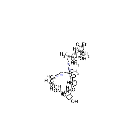 CC[C@H]1C[C@H](CC)[C@@]2(NC1=O)O[C@@H](C[C@H](O)[C@@H](C)CC/C=C/C=C(\C)[C@@H]1C/C=C/C=C/[C@@H](O)C(C)[C@@H](O)CC(=O)NC(C(C)C)C(=O)N[C@@H](Cc3cccc(O)c3)C(=O)N3CCC[C@H](N3)C(=O)O1)C(C)[C@H](O)[C@@H]2C